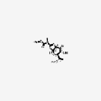 CO[C@@H](C)[C@H]1O[C@@H]2SC(N(C)C(=O)OC(C)(C)C)=N[C@@H]2[C@@H](O)[C@@H]1O